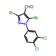 O=Cc1c(Br)nn(-c2ccc(Cl)c(Cl)c2)c1Br